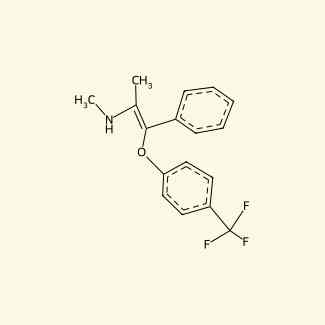 CN/C(C)=C(\Oc1ccc(C(F)(F)F)cc1)c1ccccc1